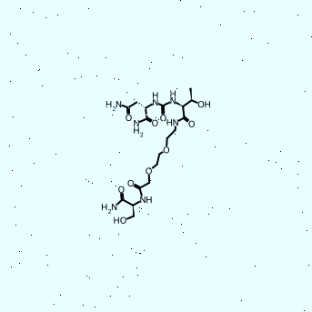 C[C@@H](O)[C@H](NC(=O)N[C@@H](CC(N)=O)C(N)=O)C(=O)NCCOCCOCC(=O)N[C@@H](CO)C(N)=O